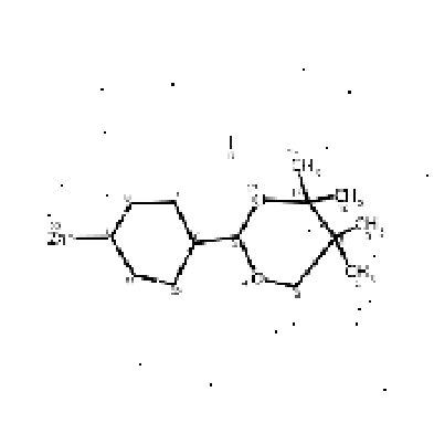 CC1(C)COC(C2CC[CH]([Zn+])CC2)OC1(C)C.[I-]